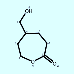 O=C1CCC(CO)CCO1